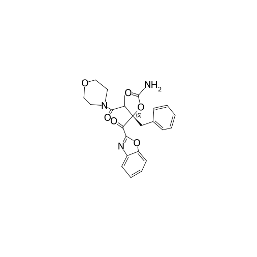 CC(C(=O)N1CCOCC1)[C@](Cc1ccccc1)(OC(N)=O)C(=O)c1nc2ccccc2o1